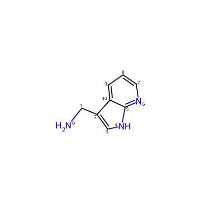 NCc1c[nH]c2ncccc12